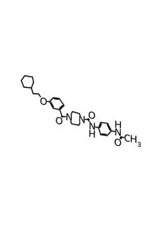 CC(=O)Nc1ccc(NC(=O)N2CCN(C(=O)c3cccc(OCCC4CCCCC4)c3)CC2)cc1